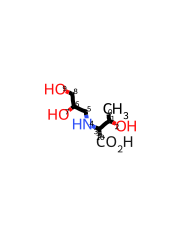 CC(O)C(NCC(O)CO)C(=O)O